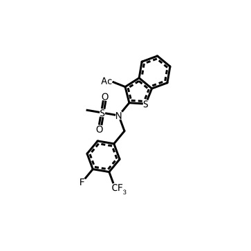 CC(=O)c1c(N(Cc2ccc(F)c(C(F)(F)F)c2)S(C)(=O)=O)sc2ccccc12